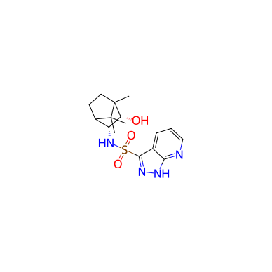 CC1(C)C2CCC1(C)[C@H](O)[C@@H]2NS(=O)(=O)c1n[nH]c2ncccc12